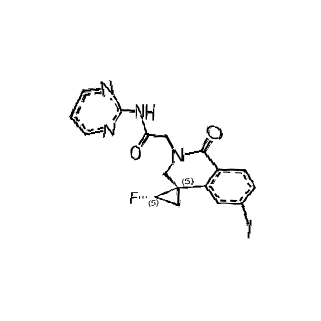 O=C(CN1C[C@]2(C[C@@H]2F)c2cc(I)ccc2C1=O)Nc1ncccn1